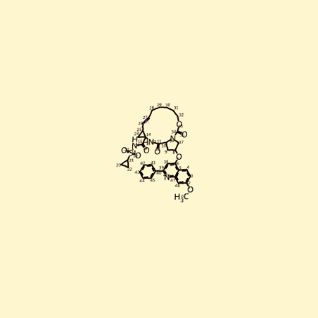 COc1ccc2c(OC3CC4C(=O)NC5(C(=O)NS(=O)(=O)C6CC6)CC5/C=C/CCCCCOC(=O)N4C3)cc(-c3ccccc3)nc2c1